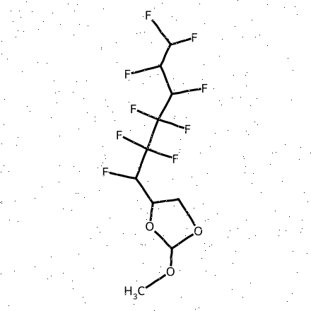 COC1OCC(C(F)C(F)(F)C(F)(F)C(F)C(F)C(F)F)O1